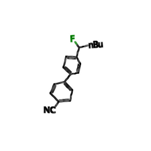 CCCCC(F)c1ccc(-c2ccc(C#N)cc2)cc1